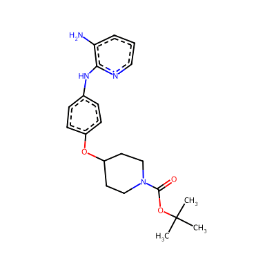 CC(C)(C)OC(=O)N1CCC(Oc2ccc(Nc3ncccc3N)cc2)CC1